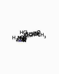 CC(=O)N1CCN(c2ccc(-c3cccc(-n4cnn(C/C(=C/F)CN)c4=O)c3)cc2)CC1.Cl